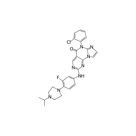 CC(C)N1CCN(c2ccc(Nc3ncc4c(=O)n(-c5ccccc5Cl)c5nccn5c4n3)cc2F)CC1